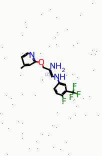 Cc1ccnc(OC/C(N)=C/Nc2ccc(F)c(C(F)(F)F)c2)c1